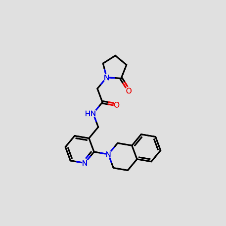 O=C(CN1CCCC1=O)NCc1cccnc1N1CCc2ccccc2C1